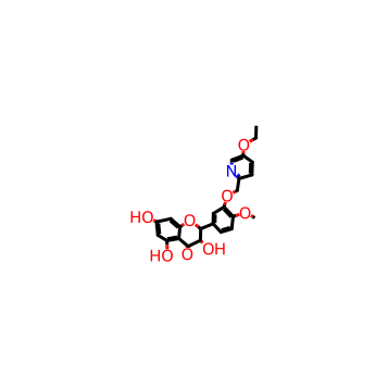 CCOc1ccc(COc2cc(C3Oc4cc(O)cc(O)c4C(=O)C3O)ccc2OC)nc1